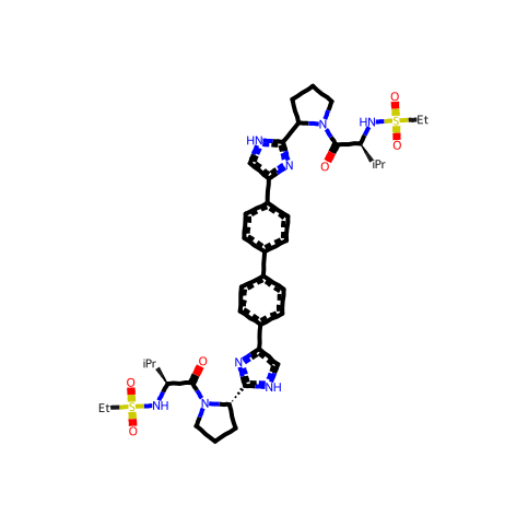 CCS(=O)(=O)N[C@H](C(=O)N1CCCC1c1nc(-c2ccc(-c3ccc(-c4c[nH]c([C@@H]5CCCN5C(=O)[C@@H](NS(=O)(=O)CC)C(C)C)n4)cc3)cc2)c[nH]1)C(C)C